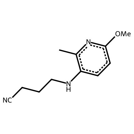 COc1ccc(NCCCC#N)c(C)n1